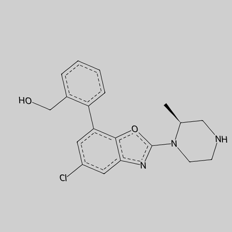 C[C@H]1CNCCN1c1nc2cc(Cl)cc(-c3ccccc3CO)c2o1